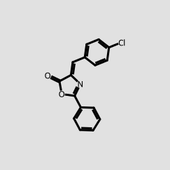 O=C1OC(c2ccccc2)=NC1=Cc1ccc(Cl)cc1